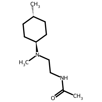 CC(=O)NCCN(C)[C@H]1CC[C@H](C)CC1